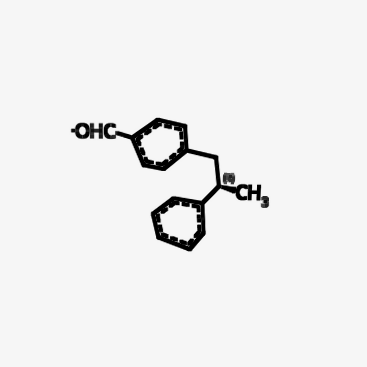 C[C@H](Cc1ccc([C]=O)cc1)c1ccccc1